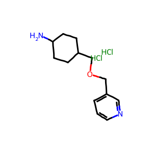 Cl.Cl.NC1CCC(COCc2cccnc2)CC1